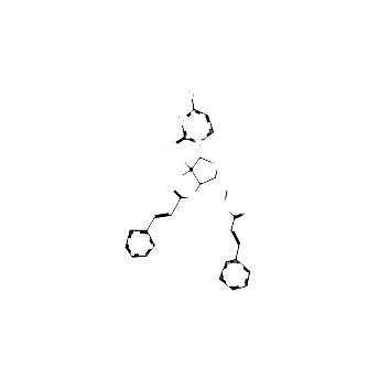 Nc1ccn([C@@H]2O[C@H](COC(=O)/C=C/c3ccccc3)C(OC(=O)/C=C/c3ccccc3)C2(F)F)c(=O)n1